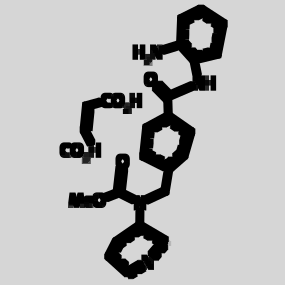 COC(=O)N(Cc1ccc(C(=O)Nc2ccccc2N)cc1)c1cccnc1.O=C(O)/C=C\C(=O)O